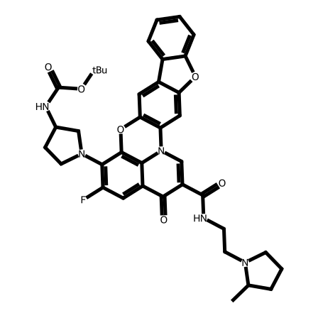 CC1CCCN1CCNC(=O)c1cn2c3c(c(N4CCC(NC(=O)OC(C)(C)C)C4)c(F)cc3c1=O)Oc1cc3c(cc1-2)oc1ccccc13